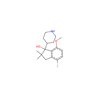 COc1ccc(F)c2c1C(O)(C1CCNCC1)C(C)(C)C2